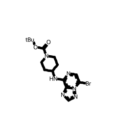 CC(C)(C)OC(=O)N1CCC(Nc2ncc(Br)n3ncnc23)CC1